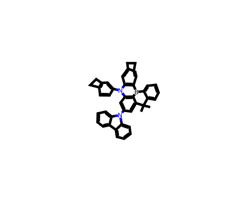 CC1(C)c2ccccc2B2c3cc4c(cc3N(c3ccc5c(c3)CC5)c3cc(-n5c6ccccc6c6ccccc65)cc1c32)CC4